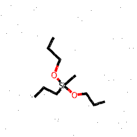 [CH2]CC[Si](C)(OCCC)OCCC